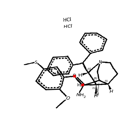 COc1ccc(SC)cc1CN[C@H]1[C@H]2CCN(C[C@@H]2C(N)=O)[C@H]1C(c1ccccc1)c1ccccc1.Cl.Cl